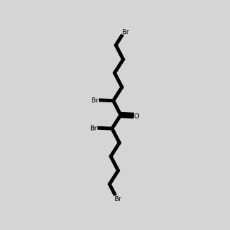 O=C(C(Br)CCCCBr)C(Br)CCCCBr